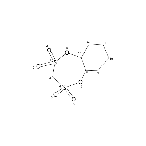 O=S1(=O)CS(=O)(=O)OC2CCCCC2O1